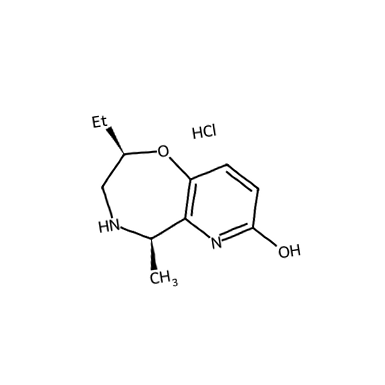 CC[C@@H]1CN[C@H](C)c2nc(O)ccc2O1.Cl